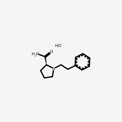 Cl.NC(=O)[C@@H]1CCCN1CCc1ccccc1